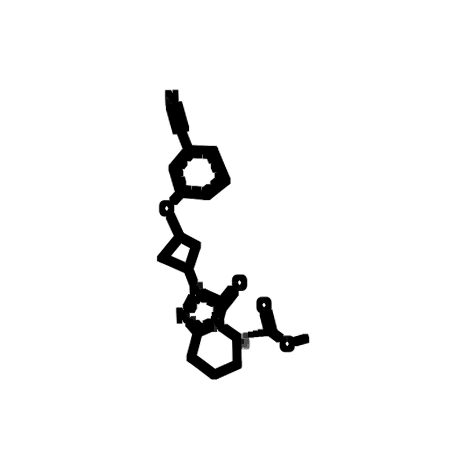 COC(=O)[C@@H]1CCCc2nn(C3CC(Oc4cccc(C#N)c4)C3)c(=O)n21